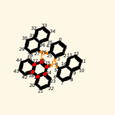 c1ccc(P(c2cccc3ccccc23)c2cccc3ccccc23)c(P(c2cccc3ccccc23)c2cccc3ccccc23)c1